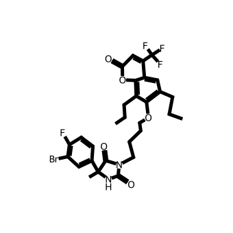 CCCc1cc2c(C(F)(F)F)cc(=O)oc2c(CCC)c1OCCCCN1C(=O)NC(C)(c2ccc(F)c(Br)c2)C1=O